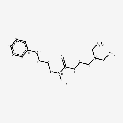 CCN(CC)CCNC(=O)N(C)SCCOc1ccccc1